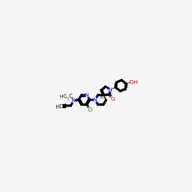 C#CCN(C(=O)O)c1cnc(N2CCC[C@]3(CCN([C@H]4CC[C@@H](O)CC4)C3=O)C2)c(Cl)c1